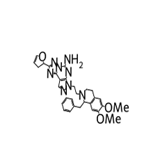 COc1cc2c(cc1OC)C(Cc1ccccc1)N(CCn1ncc3c1nc(N)n1nc(C4CC=CO4)nc31)CC2